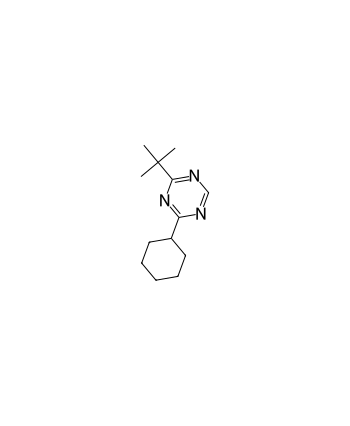 CC(C)(C)c1ncnc(C2CCCCC2)n1